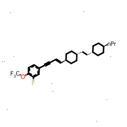 CCC[C@H]1CC[C@H](CC[C@H]2CC[C@H](C=CC#Cc3ccc(OC(F)(F)F)c(F)c3)CC2)CC1